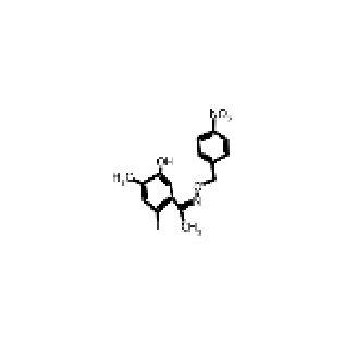 CC(=NOCc1ccc([N+](=O)[O-])cc1)c1cc(O)c(C)cc1I